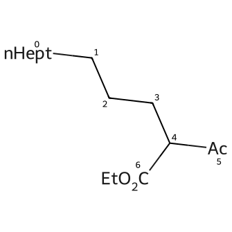 CCCCCCCCCCC(C(C)=O)C(=O)OCC